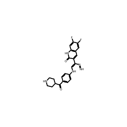 N=N/C(=C\Nc1ccc(C(=O)C2CCNCC2)cc1)c1cc2cc(F)c(F)cc2[nH]c1=O